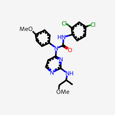 COCC(C)Nc1nccc(N(C(=O)Nc2ccc(Cl)cc2Cl)c2ccc(OC)cc2)n1